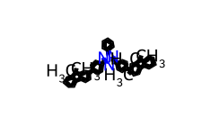 CC1(c2ccc(-c3nc(-c4ccccc4)nc(-c4ccc(-c5ccc6c(c5)C(C)(C)c5ccccc5-6)cc4)n3)cc2)C=C2C(=CC1)c1ccccc1C2(C)C